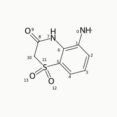 [NH]c1cccc2c1NC(=O)CS2(=O)=O